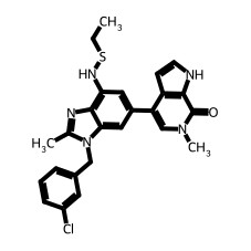 CCSNc1cc(-c2cn(C)c(=O)c3[nH]ccc23)cc2c1nc(C)n2Cc1cccc(Cl)c1